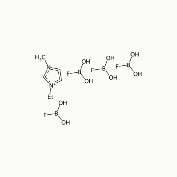 CC[n+]1ccn(C)c1.OB(O)F.OB(O)F.OB(O)F.OB(O)F